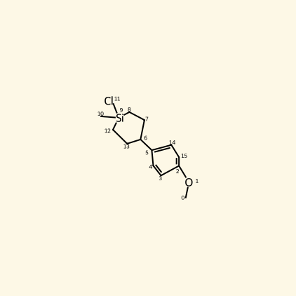 COc1ccc(C2CC[Si](C)(Cl)CC2)cc1